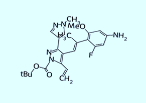 C=Cc1c(/C=C(\C)c2c(F)cc(N)cc2OC)c(-c2cnn(C)c2)nn1C(=O)OC(C)(C)C